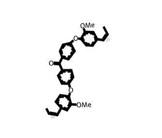 C/C=C\c1ccc(Oc2ccc(C(=O)c3ccc(Oc4ccc(/C=C\C)cc4OC)cc3)cc2)c(OC)c1